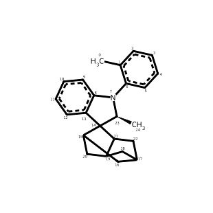 Cc1ccccc1N1c2ccccc2C2(C3CC4CC(C3)C2C4)[C@@H]1C